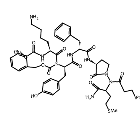 CSCCC(C(N)=O)N(C(=O)CCC(C)C)N1CC[C@H](NC(=O)[C@@H](Cc2ccccc2)NC(=O)[C@@H](Cc2ccc(O)cc2)N(C(=O)OCc2ccccc2)C(=O)[C@H](CCCCN)NC(=O)OC(C)(C)C)C1=O